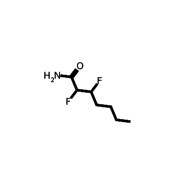 CCCCC(F)C(F)C(N)=O